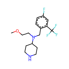 COCCN(Cc1ccc(F)cc1C(F)(F)F)C1CCNCC1